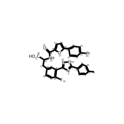 Cc1ccc(-c2nc(-c3cc(CC(NC(=O)c4ccc(-c5ccc(C(C)C)cc5)o4)C(=O)O)ccc3F)no2)cc1